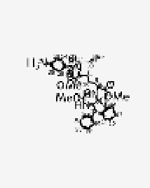 COC(=O)N[C@H](C(=O)NC(CCCC(C(=O)OC)N(CCC(C)C)S(=O)(=O)c1ccc(N)cc1)C(=O)OC)C(c1ccccc1)c1ccccc1